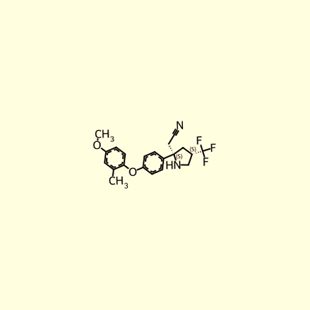 COc1ccc(Oc2ccc([C@@]3(CC#N)C[C@H](C(F)(F)F)CN3)cc2)c(C)c1